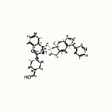 C[C@]12Cc3cnn(-c4cccnc4)c3C=C1CC[C@@H]2CC(NC(=O)N1CCC(CO)CC1)c1ccccc1